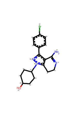 NC1=NCCc2c1c(-c1ccc(Br)cc1)nn2C1CCC(O)CC1